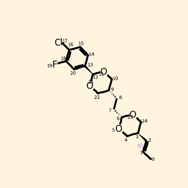 C/C=C/[C@H]1CO[C@H](CC[C@H]2CO[C@H](c3ccc(Cl)c(F)c3)OC2)OC1